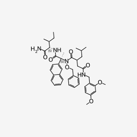 CCC(C)[C@H](NC(=O)[C@](C)(c1ccc2ccccc2c1)N(OCc1ccccc1)C(=O)C(CC(=O)NCc1ccc(OC)cc1OC)CC(C)C)C(N)=O